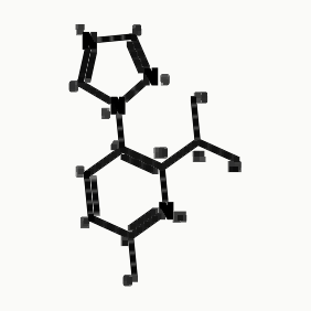 Cc1ccc(-n2cncn2)c(C(C)C)n1